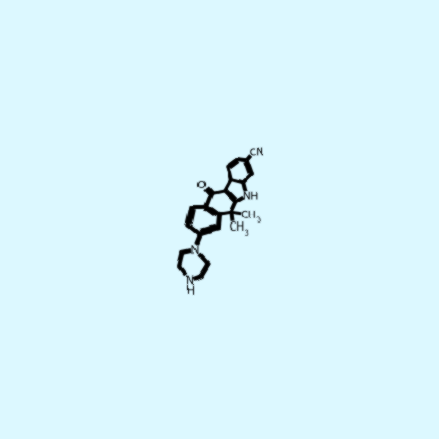 CC1(C)C2=C(C(=O)c3ccc(N4CCNCC4)cc31)C1C=CC(C#N)=CC1N2